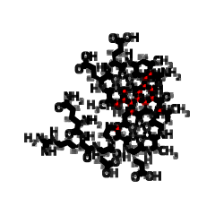 CC(C)C[C@H](NC(=O)[C@H](C)NC(=O)[C@H](CCC(=O)O)NC(=O)[C@@H]1CCCN1C(=O)[C@H](CC(=O)O)NC(=O)[C@H](CCCNC(=N)N)NC(=O)[C@@H](N)CCC(N)=O)C(=O)N[C@@H](CCCNC(=N)N)C(=O)N[C@@H](CCCNC(=N)N)C(=O)N[C@@H](C)C(=O)N[C@@H](CCC(=O)O)C(=O)N[C@@H](CCC(=O)O)C(=O)N[C@@H](CC(C)C)C(=O)N[C@@H](CCC(=O)O)C(=O)N[C@@H](CCC(=O)O)C(=O)O